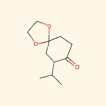 CC(C)C1CC2(CCC1=O)OCCO2